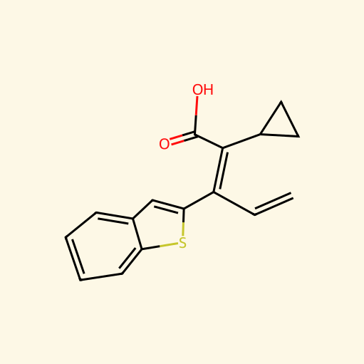 C=CC(=C(C(=O)O)C1CC1)c1cc2ccccc2s1